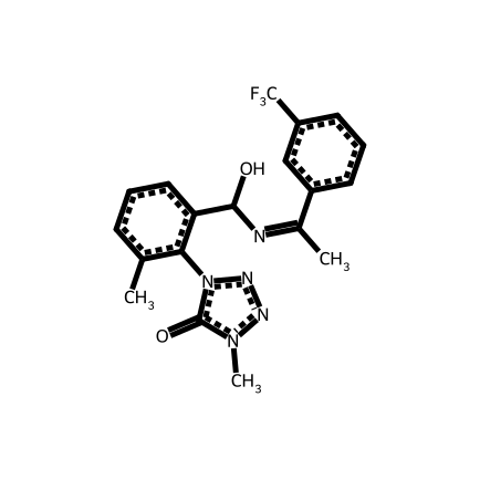 CC(=NC(O)c1cccc(C)c1-n1nnn(C)c1=O)c1cccc(C(F)(F)F)c1